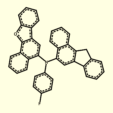 Fc1ccc(N(c2cc3c(c4ccccc24)Cc2ccccc2-3)c2cc3c4ccccc4oc3c3ccccc23)cc1